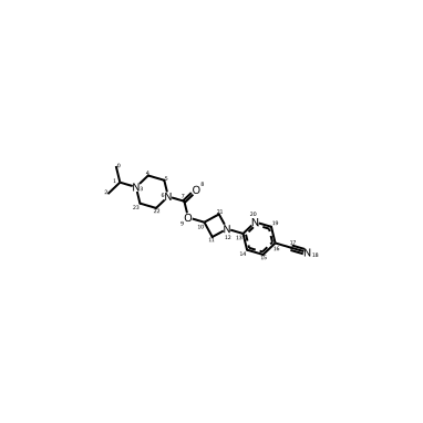 CC(C)N1CCN(C(=O)OC2CN(c3ccc(C#N)cn3)C2)CC1